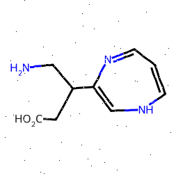 NCC(CC(=O)O)C1=CNC=CC=N1